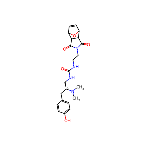 CN(C)[C@H](CNC(=O)NCCN1C(=O)C2C3C=CC(O3)C2C1=O)Cc1ccc(O)cc1